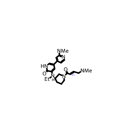 CCN(c1cc(-c2ccnc(NC)c2)c[nH]c1=O)[C@@H]1CCCN(C(=O)/C=C/CNC)C1